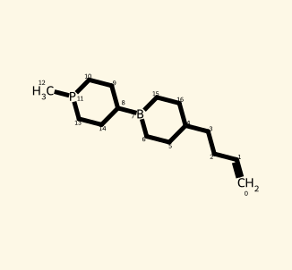 C=CCCC1CCB(C2CCP(C)CC2)CC1